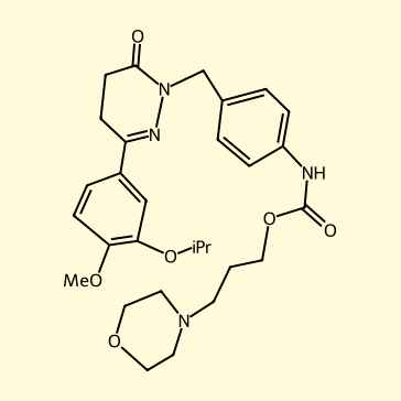 COc1ccc(C2=NN(Cc3ccc(NC(=O)OCCCN4CCOCC4)cc3)C(=O)CC2)cc1OC(C)C